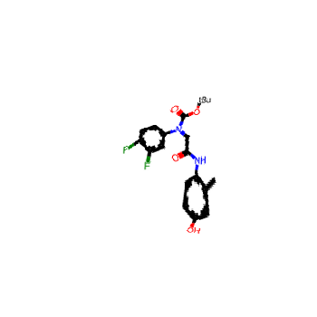 Cc1cc(O)ccc1NC(=O)CN(C(=O)OC(C)(C)C)c1ccc(F)c(F)c1